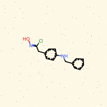 O/N=C(\Cl)Cc1ccc(NCc2ccccc2)cc1